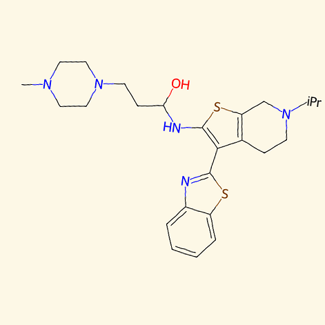 CC(C)N1CCc2c(sc(NC(O)CCN3CCN(C)CC3)c2-c2nc3ccccc3s2)C1